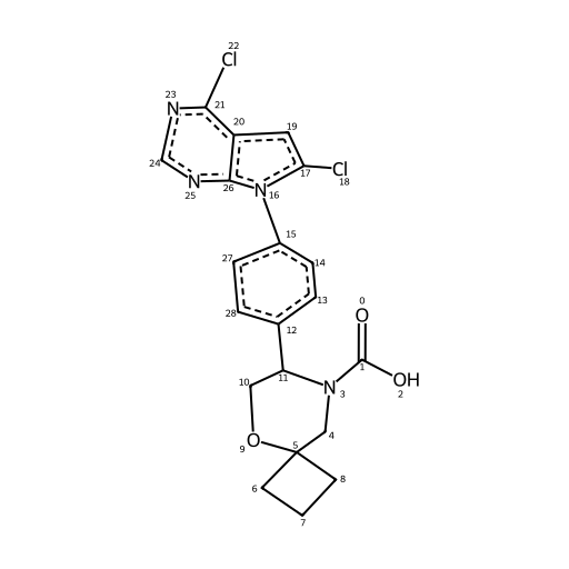 O=C(O)N1CC2(CCC2)OCC1c1ccc(-n2c(Cl)cc3c(Cl)ncnc32)cc1